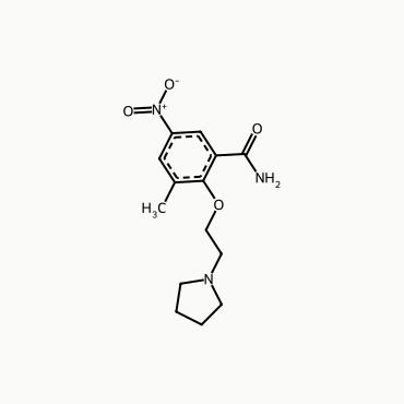 Cc1cc([N+](=O)[O-])cc(C(N)=O)c1OCCN1CCCC1